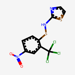 O=[N+]([O-])c1ccc(SNc2nccs2)c(C(Cl)(Cl)Cl)c1